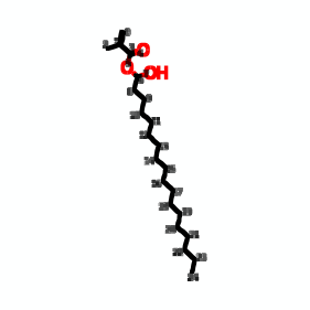 C=C(C)C(=O)OC(O)CCCCCCCCCCCCCCCCC